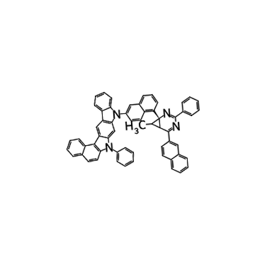 CC1C2C(c3ccc4ccccc4c3)=NC(c3ccccc3)=N[C@@]12c1cccc2cc(-n3c4ccccc4c4cc5c6c7ccccc7ccc6n(-c6ccccc6)c5cc43)ccc12